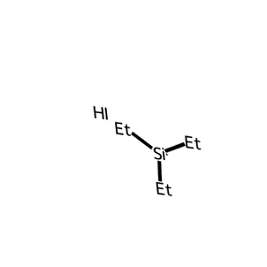 CC[Si](CC)CC.I